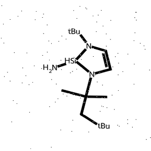 CC(C)(C)CC(C)(C)N1C=CN(C(C)(C)C)[SiH]1N